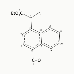 CCOC(=O)C(C)c1ccc(C=O)c2ccccc12